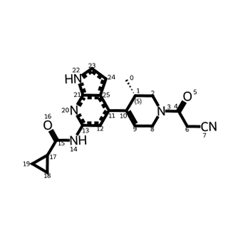 C[C@@H]1CN(C(=O)CC#N)CC=C1c1cc(NC(=O)C2CC2)nc2[nH]ccc12